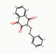 O=C1C(=O)C(CCc2ccccc2)C(=O)c2ccccc21